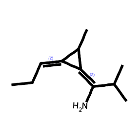 CC/C=C1\C(=C(/N)C(C)C)C1C